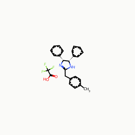 Cc1ccc(CC2=N[C@H](c3ccccc3)[C@H](c3ccccc3)N2)cc1.O=C(O)C(F)(F)F